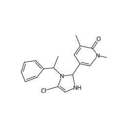 Cc1cc(C2NC=C(Cl)N2C(C)c2ccccc2)cn(C)c1=O